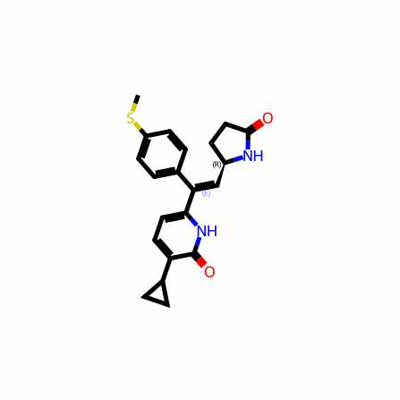 CSc1ccc(/C(=C\[C@H]2CCC(=O)N2)c2ccc(C3CC3)c(=O)[nH]2)cc1